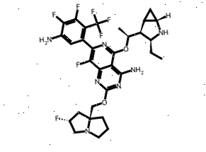 CC[C@@H]1N[C@H]2CC2[C@@H]1[C@H](C)Oc1nc(-c2cc(N)c(F)c(F)c2C(F)(F)F)c(F)c2nc(OC[C@@]34CCCN3C[C@H](F)C4)nc(N)c12